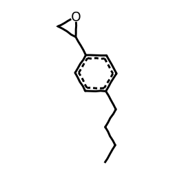 CCCCc1ccc(C2CO2)cc1